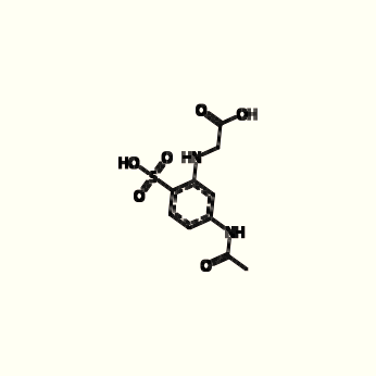 CC(=O)Nc1ccc(S(=O)(=O)O)c(NCC(=O)O)c1